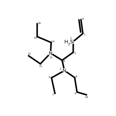 C=C[SiH2]CC(N(CC)CCC)N(CC)CCC